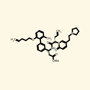 C=CCCCOc1cccc(C)c1-c1cccc([C@H](CC(=O)OC)NC(=O)[C@H](CC=C)n2cc(CCN3CCCC3)ccc2=O)c1